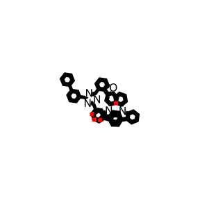 c1ccc(-c2cccc(-c3nc(-c4cccc(-c5ccccc5)c4)nc(-c4cccc5oc6ccc(-n7c8ccccc8c8ccc9c%10ccccc%10n(-c%10ccccc%10)c9c87)cc6c45)n3)c2)cc1